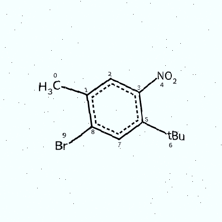 Cc1cc([N+](=O)[O-])c(C(C)(C)C)cc1Br